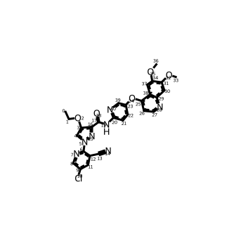 CCOc1cn(-c2ncc(Cl)cc2C#N)nc1C(=O)Nc1ccc(Oc2ccnc3cc(OC)c(OC)cc23)cn1